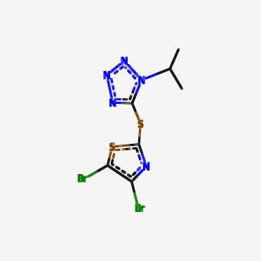 CC(C)n1nnnc1Sc1nc(Br)c(Br)s1